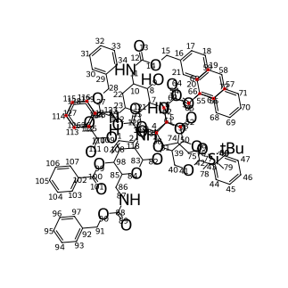 C=CCOC1C(OC2C(O)C(NC(=O)OCc3ccccc3)CC(NC(=O)OCc3ccccc3)C2OC2OC3COC(c4ccccc4)OC3C(OC(=O)c3ccccc3)C2NC(=O)OCc2ccccc2)OC(CO[Si](C)(C)C(C)(C)C)C1OC1OC(CNC(=O)OCc2ccccc2)C(OC(=O)c2ccccc2)C(OC(=O)c2ccccc2)C1NC(=O)OCc1ccccc1